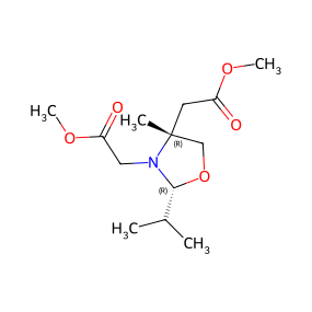 COC(=O)CN1[C@@H](C(C)C)OC[C@@]1(C)CC(=O)OC